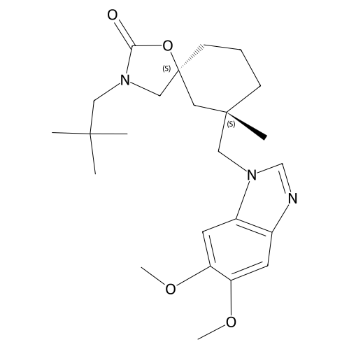 COc1cc2ncn(C[C@@]3(C)CCC[C@@]4(CN(CC(C)(C)C)C(=O)O4)C3)c2cc1OC